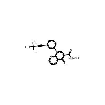 CC(C)NC(=O)c1cn(-c2cccc(C#CC(O)(C(F)(F)F)C(F)(F)F)c2)c2ncccc2c1=O